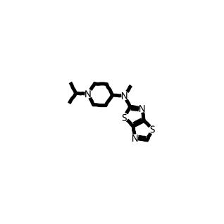 CC(C)N1CCC(N(C)c2nc3scnc3s2)CC1